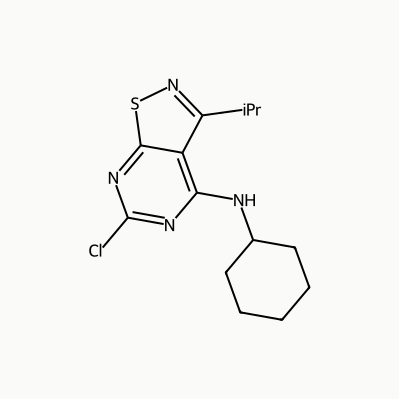 CC(C)c1nsc2nc(Cl)nc(NC3CCCCC3)c12